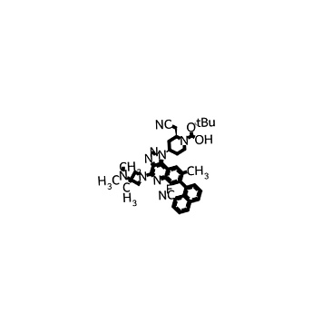 Cc1cc2c(nc(N3CC(C)(N(C)C)C3)c3nnn([C@H]4CCN(C(O)OC(C)(C)C)[C@H](CC#N)C4)c32)c(F)c1-c1cccc2cccc(C#N)c12